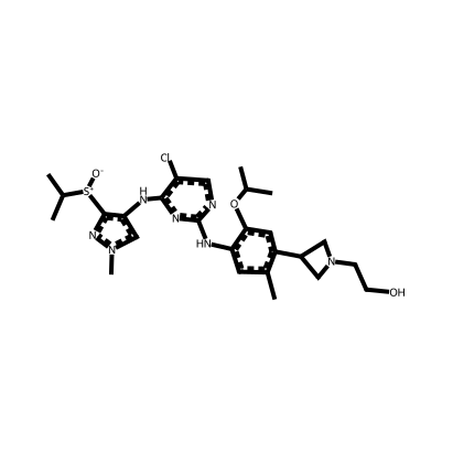 Cc1cc(Nc2ncc(Cl)c(Nc3cn(C)nc3[S+]([O-])C(C)C)n2)c(OC(C)C)cc1C1CN(CCO)C1